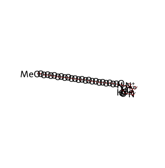 COCCOCCOCCOCCOCCOCCOCCOCCOCCOCCOCCOCCOCCOCCOCCOCCOCCOCCOCCOCCOCCOCCOCCOCCNC(=O)CCCCC[N+]1=c2cc3c(cc2C(C)CC1(C)C)=C(c1ccc(C)cc1C)c1cc2c(cc1O3)N(CCCCCC(=O)ON1C(=O)CCC1=O)C(C)(C)CC2C